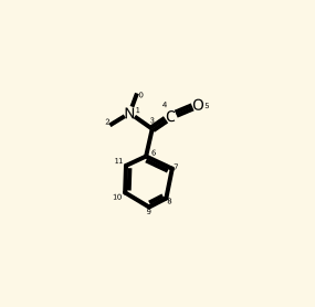 CN(C)C(=C=O)c1ccccc1